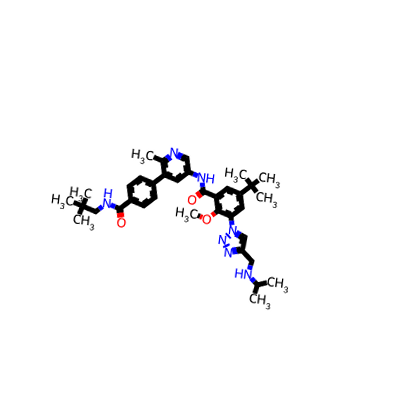 COc1c(C(=O)Nc2cnc(C)c(-c3ccc(C(=O)NCC(C)(C)C)cc3)c2)cc(C(C)(C)C)cc1-n1cc(CNC(C)C)nn1